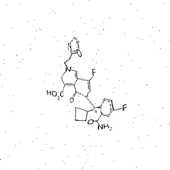 NC(=O)c1cc(F)ccc1[C@@H](C1CCC1)C1C=C(F)C2=CN(Cc3ncco3)CC(C(=O)O)=C2C1=O